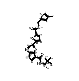 Cc1csc(CNC(=O)c2ccc(-c3cnc4[nH]cc(C(=O)N[C@@H](C)C(C)(C)C)c4n3)s2)c1